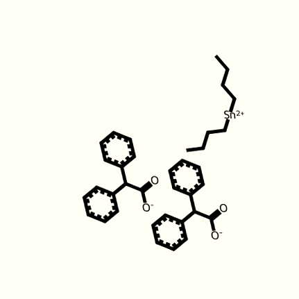 CCC[CH2][Sn+2][CH2]CCC.O=C([O-])C(c1ccccc1)c1ccccc1.O=C([O-])C(c1ccccc1)c1ccccc1